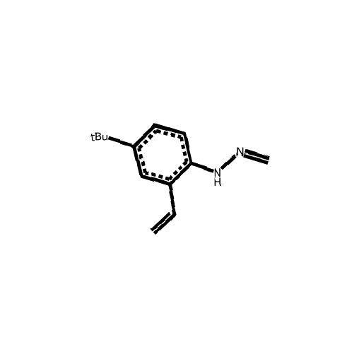 C=Cc1cc(C(C)(C)C)ccc1NN=C